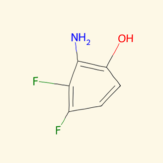 Nc1c(O)ccc(F)c1F